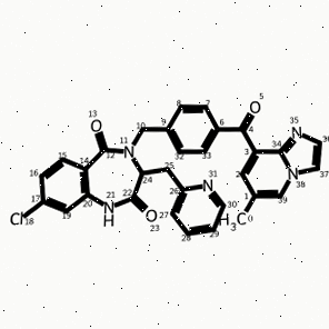 Cc1cc(C(=O)c2ccc(CN3C(=O)c4ccc(Cl)cc4NC(=O)C3Cc3ccccn3)cc2)c2nccn2c1